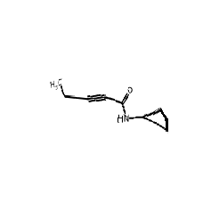 CCC#CC(=O)NC1CC1